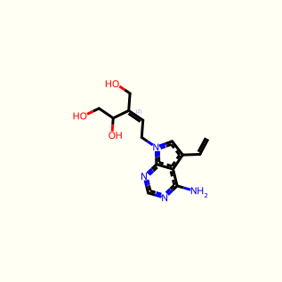 C=Cc1cn(C/C=C(/CO)C(O)CO)c2ncnc(N)c12